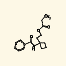 CCC(=O)OCCC1(NC(=O)c2ccccc2)CCC1